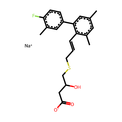 Cc1cc(C)c(C=CCSCC(O)CC(=O)[O-])c(-c2ccc(F)c(C)c2)c1.[Na+]